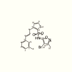 Cc1cccc(C=CCc2ccsc2S(=O)(=O)Nc2onc(C)c2Br)c1